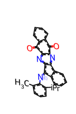 Cc1cccc(C(C)C)c1/N=c1\c2ccccc2c2nc3c(=O)c4ccccc4c(=O)c3nc12